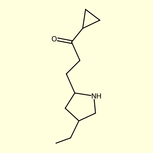 CCC1CNC(CCC(=O)C2CC2)C1